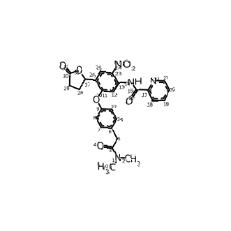 CN(C)C(=O)Cc1ccc(Oc2cc(NC(=O)c3ccccn3)c([N+](=O)[O-])cc2C2CCC(=O)O2)cc1